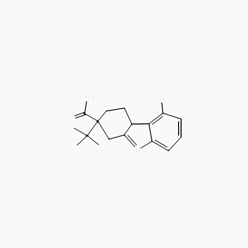 CC(C)(O)C1(C(N)=O)CCC2C(=Nc3cccc(Br)c32)C1